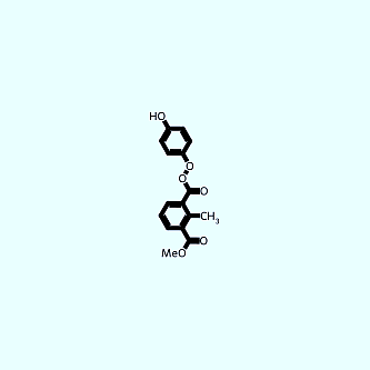 COC(=O)c1cccc(C(=O)OOc2ccc(O)cc2)c1C